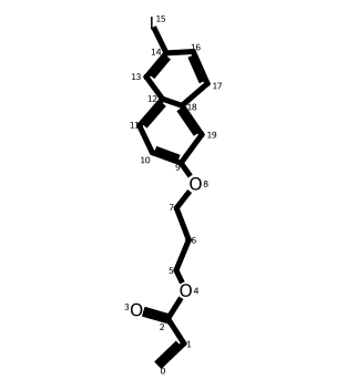 C=CC(=O)OCCCOc1ccc2cc(I)ccc2c1